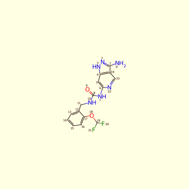 Nc1n[nH]c2cc(NC(=O)NCc3ccccc3OC(F)F)ncc12